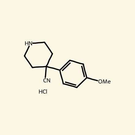 COc1ccc(C2(C#N)CCNCC2)cc1.Cl